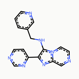 c1cncc(CNc2c(-c3ccncn3)nc3cnccn23)c1